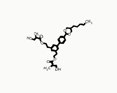 C=C(CO)C(=O)OCCc1cc(CCOC(=O)C(C)CO)cc(-c2ccc(C3OCC(CCCCC)CO3)cc2)c1